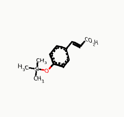 C[Si](C)(C)Oc1ccc(/C=C/C(=O)O)cc1